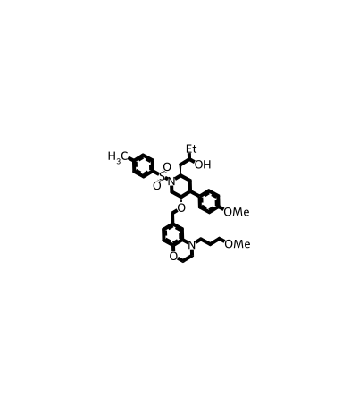 CCC(O)C[C@H]1CC(c2ccc(OC)cc2)[C@H](OCc2ccc3c(c2)N(CCCOC)CCO3)CN1S(=O)(=O)c1ccc(C)cc1